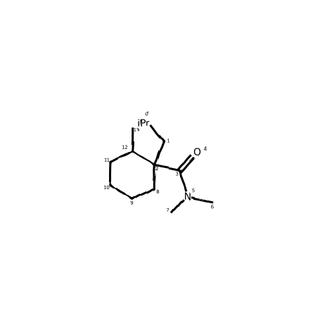 CC(C)CC1(C(=O)N(C)C)CCCCC1C